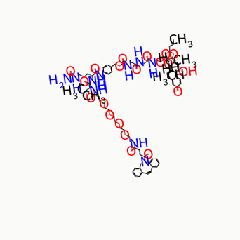 CCCC1O[C@@H]2C[C@H]3[C@@H]4CCC5=CC(=O)C=C[C@]5(C)[C@H]4[C@@H](O)C[C@]3(C)[C@]2(C(=O)COCNC(=O)CNC(=O)CNC(=O)OCc2ccc(NC(=O)[C@H](CCCNC(N)=O)NC(=O)[C@@H](NC(=O)CCOCCOCCOCCOCCNC(=O)CCC(=O)N3Cc4ccccc4C#Cc4ccccc43)C(C)C)cc2)O1